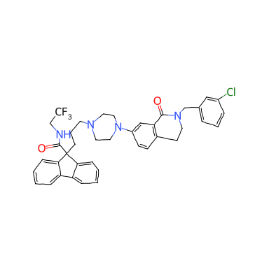 O=C1c2cc(N3CCN(CCCC4(C(=O)NCC(F)(F)F)c5ccccc5-c5ccccc54)CC3)ccc2CCN1Cc1cccc(Cl)c1